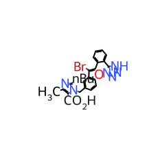 CCCCc1nc(C)c(C(=O)O)n1Cc1ccc2oc(-c3ccccc3-c3nnn[nH]3)c(Br)c2c1